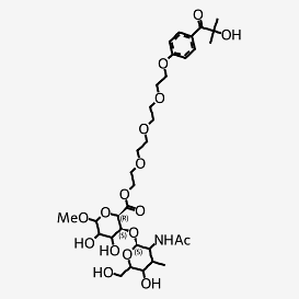 COC1O[C@@H](C(=O)OCCOCCOCCOCCOc2ccc(C(=O)C(C)(C)O)cc2)[C@@H](O[C@@H]2OC(CO)C(O)C(C)C2NC(C)=O)C(O)C1O